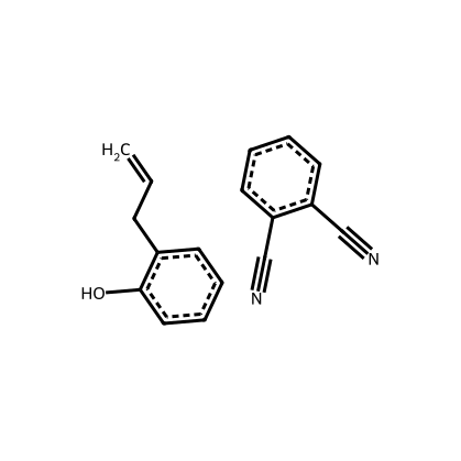 C=CCc1ccccc1O.N#Cc1ccccc1C#N